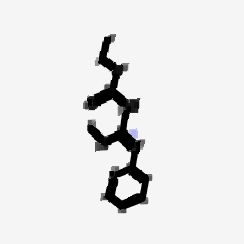 CCOC(=O)N/C(=N/c1ccccn1)SC